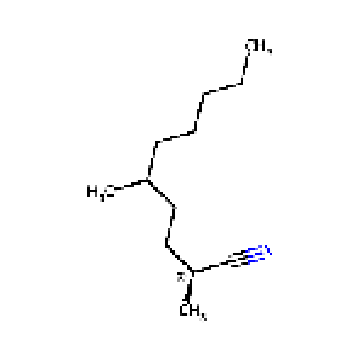 CCCCCC(C)CC[C@H](C)C#N